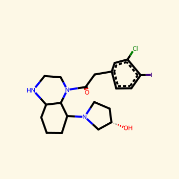 O=C(Cc1ccc(I)c(Cl)c1)N1CCNC2CCCC(N3CC[C@H](O)C3)C21